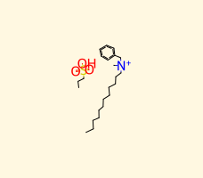 CCCCCCCCCCCC[N+](C)(C)Cc1ccccc1.CCCS(=O)(=O)O